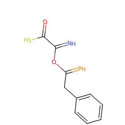 N=C(OC(=P)Cc1ccccc1)C(=O)S